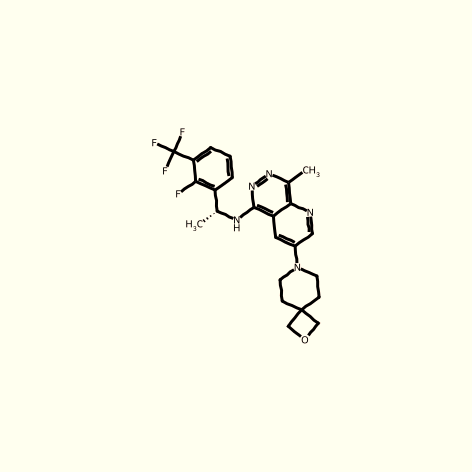 Cc1nnc(N[C@H](C)c2cccc(C(F)(F)F)c2F)c2cc(N3CCC4(CC3)COC4)cnc12